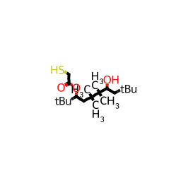 CC(C)(C)CC(O)C(C)(C)C(C)(C)CC(OC(=O)CS)C(C)(C)C